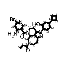 C=CC(=O)N1CCc2nn(-c3ccc(C4CCC4)cc3O)c3c2C(C1)N(C(=O)c1cnc(Br)cc1N)CC3